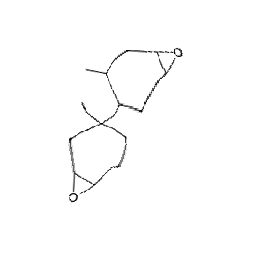 CC1CC2OC2CC1C1(C)CCC2OC2C1